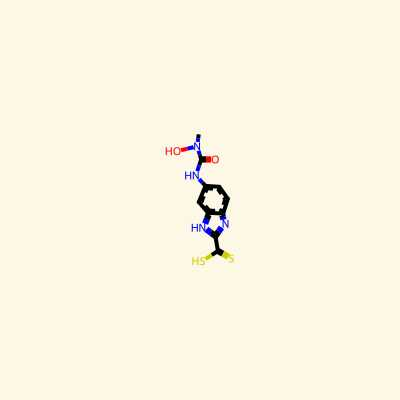 CN(O)C(=O)Nc1ccc2nc(C(=S)S)[nH]c2c1